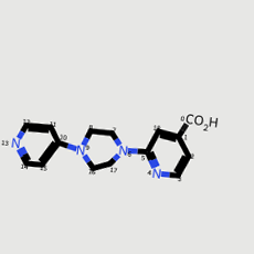 O=C(O)c1ccnc(N2CCN(c3ccncc3)CC2)c1